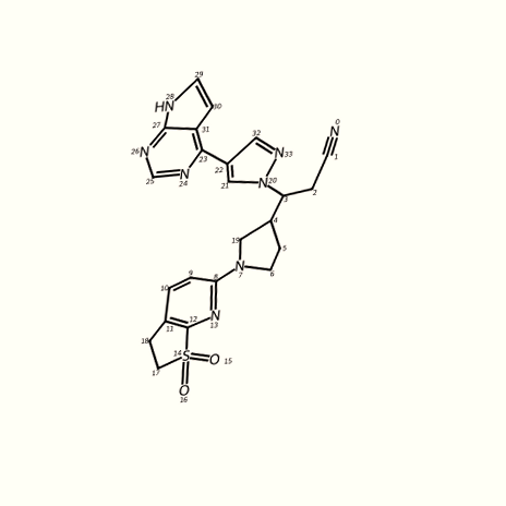 N#CCC(C1CCN(c2ccc3c(n2)S(=O)(=O)CC3)C1)n1cc(-c2ncnc3[nH]ccc23)cn1